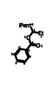 CCCC(C)C(CC)OC(=O)c1ccccc1